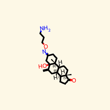 C=C1C[C@@H]2[C@@H](CC[C@]3(C)C(=O)CC[C@@H]23)[C@@]2(C)CCC(=NOCCCN)CC12O